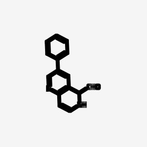 O=CC1NC=Cc2ncc(-c3ccccc3)cc21